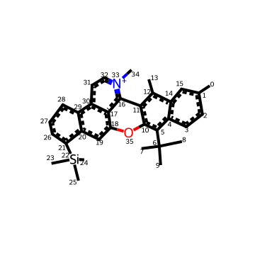 Cc1ccc2c(C(C)(C)C)c3c(c(C)c2c1)-c1c2c(cc4c([Si](C)(C)C)cccc4c2cc[n+]1C)O3